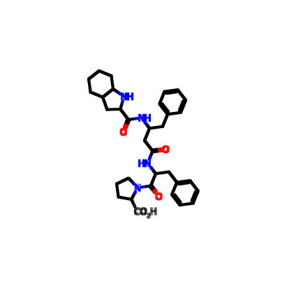 O=C(CC(Cc1ccccc1)NC(=O)C1CC2CCCCC2N1)NC(Cc1ccccc1)C(=O)N1CCCC1C(=O)O